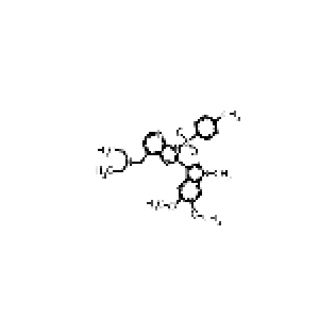 CCN(CC)Cc1ccnc2c1cc(-c1cn(C)c3cc(OC)c(OC)cc13)n2S(=O)(=O)c1ccc(C)cc1